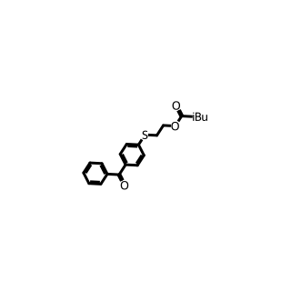 CCC(C)C(=O)OCCSc1ccc(C(=O)c2ccccc2)cc1